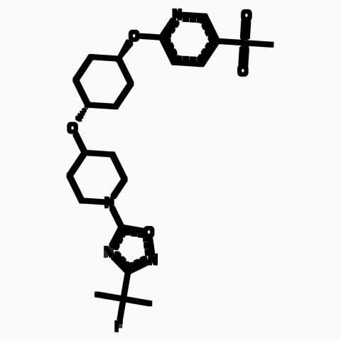 CC(C)(F)c1noc(N2CCC(O[C@H]3CC[C@H](Oc4ccc(S(C)(=O)=O)cn4)CC3)CC2)n1